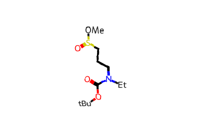 CCN(CCCS(=O)OC)C(=O)OC(C)(C)C